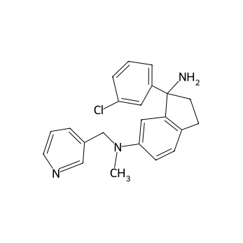 CN(Cc1cccnc1)c1ccc2c(c1)C(N)(c1cccc(Cl)c1)CC2